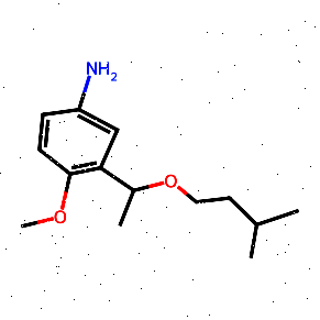 COc1ccc(N)cc1C(C)OCCC(C)C